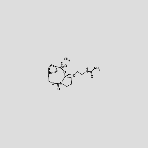 C.NC(=O)NCCOC[C@@]12CCCN1C(=O)OCc1ccc(cc1)S(=O)(=O)O2